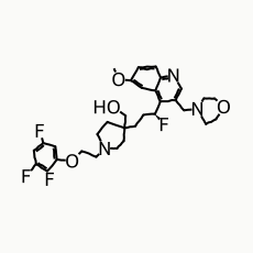 COc1ccc2ncc(CN3CCOCC3)c([C@@H](F)CCC3(CO)CCN(CCOc4cc(F)cc(F)c4F)CC3)c2c1